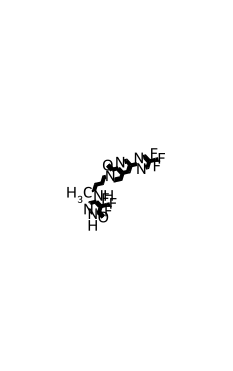 C[C@@H](CCCn1ccc2cc(-c3ncc(C(F)(F)F)cn3)cnc2c1=O)Nc1cn[nH]c(=O)c1C(F)(F)F